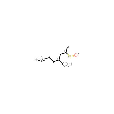 CC(CC(CCC(=O)O)C(=O)O)[S+]=O